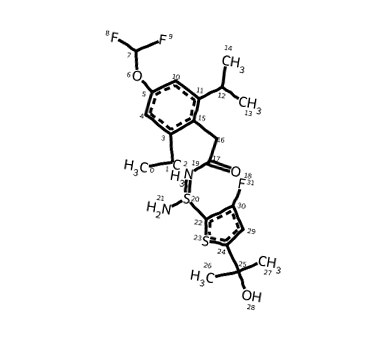 CC(C)c1cc(OC(F)F)cc(C(C)C)c1CC(=O)/N=S(/N)c1sc(C(C)(C)O)cc1F